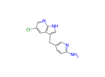 Nc1ccc(Cc2c[nH]c3ncc(Cl)cc23)cn1